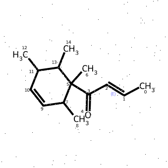 C/C=C/C(=O)C1(C)C(C)C=CC(C)C1C